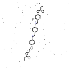 C=CC(=O)OCCOc1ccc(/C=C/c2ccc(/C=C/c3ccc(OC(=O)C=C)cc3F)cc2)cc1